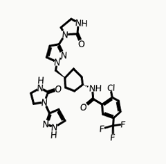 O=C(N[C@H]1CC[C@H](Cn2ccc(N3CCNC3=O)n2)CC1)c1cc(C(F)(F)F)ccc1Cl.O=C1NCCN1c1cc[nH]n1